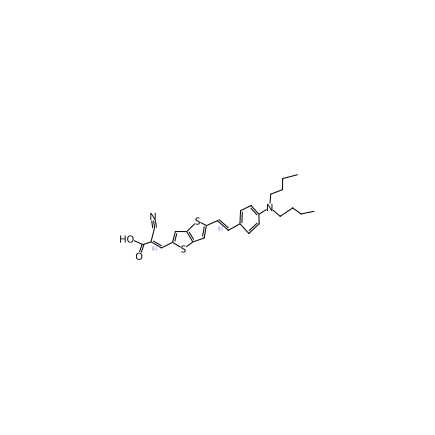 CCCCN(CCCC)c1ccc(/C=C/c2cc3sc(/C=C(\C#N)C(=O)O)cc3s2)cc1